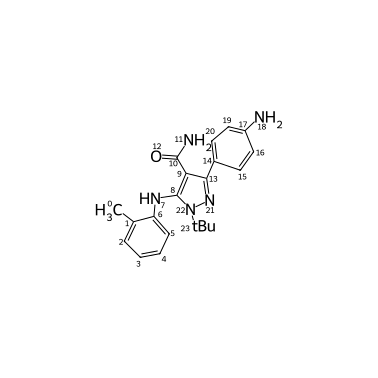 Cc1ccccc1Nc1c(C(N)=O)c(-c2ccc(N)cc2)nn1C(C)(C)C